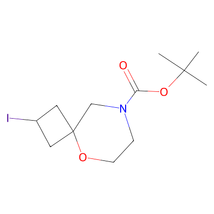 CC(C)(C)OC(=O)N1CCOC2(CC(I)C2)C1